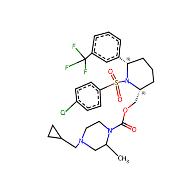 CC1CN(CC2CC2)CCN1C(=O)OC[C@H]1CCC[C@@H](c2cccc(C(F)(F)F)c2)N1S(=O)(=O)c1ccc(Cl)cc1